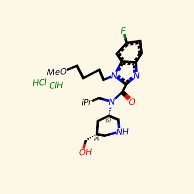 COCCCCn1c(C(=O)N(CC(C)C)[C@@H]2CNC[C@H](CO)C2)nc2ccc(F)cc21.Cl.Cl